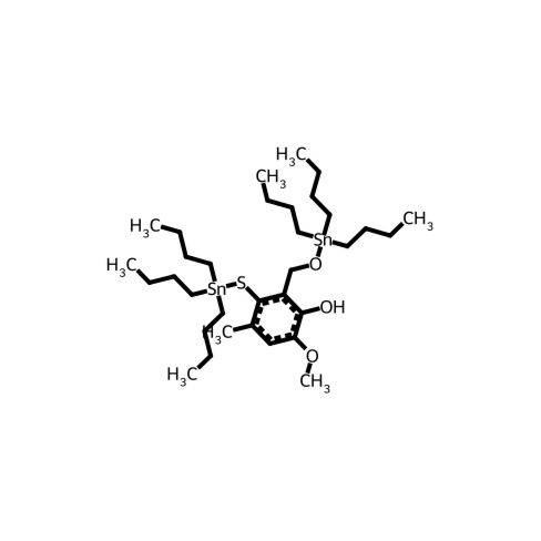 CCC[CH2][Sn]([CH2]CCC)([CH2]CCC)[O]Cc1c(O)c(OC)cc(C)c1[S][Sn]([CH2]CCC)([CH2]CCC)[CH2]CCC